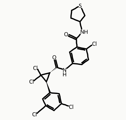 O=C(NC1CCSC1)c1cc(NC(=O)[C@@H]2[C@@H](c3cc(Cl)cc(Cl)c3)C2(Cl)Cl)ccc1Cl